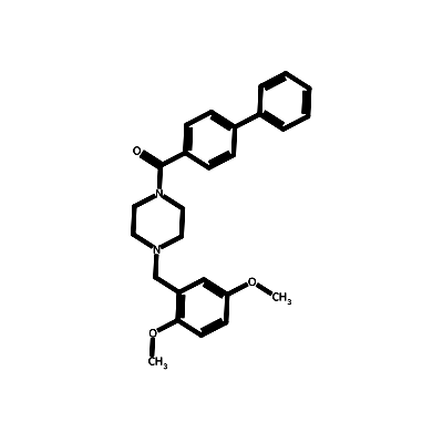 COc1ccc(OC)c(CN2CCN(C(=O)c3ccc(-c4ccccc4)cc3)CC2)c1